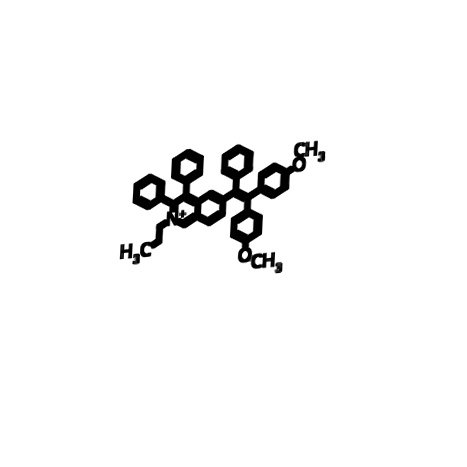 CCC[n+]1cc2ccc(C(=C(c3ccc(OC)cc3)c3ccc(OC)cc3)c3ccccc3)cc2c(-c2ccccc2)c1-c1ccccc1